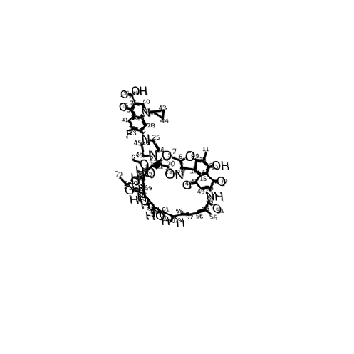 CO[C@H]1/C=C/O[C@@]2(C)Oc3c(C)c(O)c4c(c3/C2=N/OCC(=O)N2CCN(c3cc5c(cc3F)c(=O)c(C(=O)O)cn5C3CC3)CC2)C(=O)C=C(NC(=O)/C(C)=C\C=C\[C@H](C)[C@H](O)[C@@H](C)[C@@H](O)[C@@H](C)[C@H](OC(C)=O)[C@@H]1C)C4=O